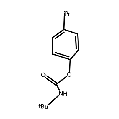 CC(C)c1ccc(OC(=O)NC(C)(C)C)cc1